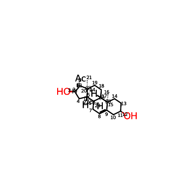 CC(=O)[C@H]1[C@H](O)C[C@H]2[C@@H]3CC=C4CC(O)CC[C@]4(C)[C@H]3CC[C@@]21C